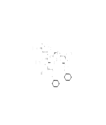 CC[C@H](N)C(=O)C(=O)N(C(=O)[C@@H](NC(=O)[C@@H](NC(=O)OCc1ccccc1)C(C)C)C(C)C)[C@H](CC(C)C)C(=O)N[C@H](C(=O)OCc1ccccc1)C(C)C